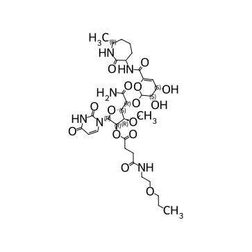 CCCOCCNC(=O)CCC(=O)O[C@@H]1[C@H](OC)[C@@H]([C@@H](OC2OC(C(=O)NC3CCC[C@@H](C)NC3=O)=C[C@H](O)[C@@H]2O)C(N)=O)O[C@H]1n1ccc(=O)[nH]c1=O